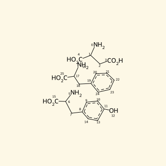 NC(CC(=O)O)C(=O)O.NC(Cc1ccc(O)cc1)C(=O)O.NC(Cc1ccccc1)C(=O)O